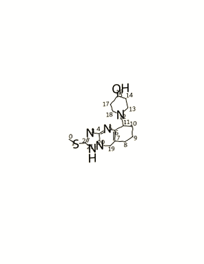 CSC1=NC2=NC3=C(CCCC3N3CCC(O)CC3)CN2N1